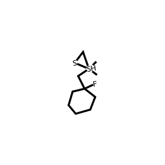 C[SH]1(C)(CC2(F)CCCCC2)CS1